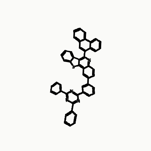 c1ccc(-c2nc(-c3ccccc3)nc(-c3cccc(-c4ccc5nc(-c6cc7ccccc7c7ccccc67)c6c7ccccc7sc6c5c4)c3)n2)cc1